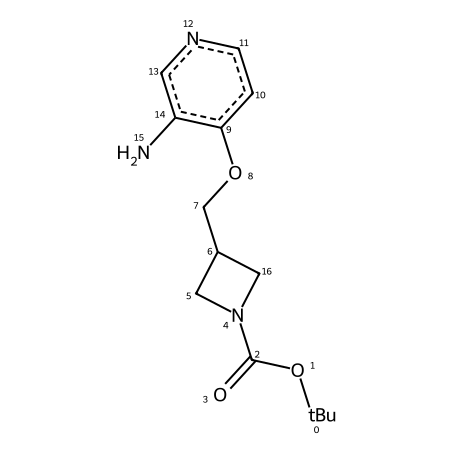 CC(C)(C)OC(=O)N1CC(COc2ccncc2N)C1